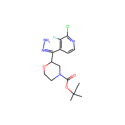 CC(C)(C)OC(=O)N1CCOC(C(=NN)c2ccnc(Cl)c2F)C1